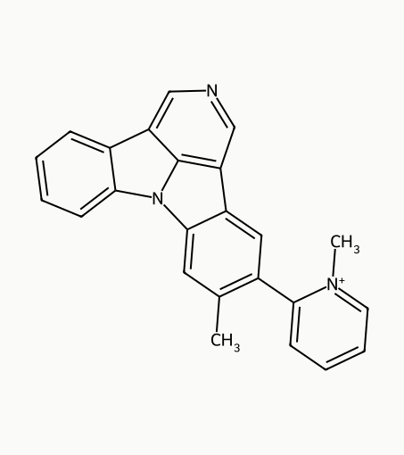 Cc1cc2c(cc1-c1cccc[n+]1C)c1cncc3c4ccccc4n2c31